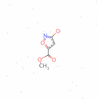 COC(=O)c1cc([O])no1